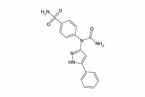 NC(=O)N(c1ccc(S(N)(=O)=O)cc1)c1cc(-c2ccccc2)[nH]n1